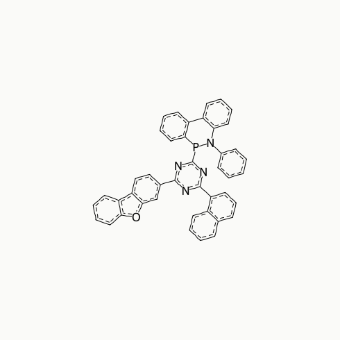 c1ccc(N2c3ccccc3-c3ccccc3P2c2nc(-c3ccc4c(c3)oc3ccccc34)nc(-c3cccc4ccccc34)n2)cc1